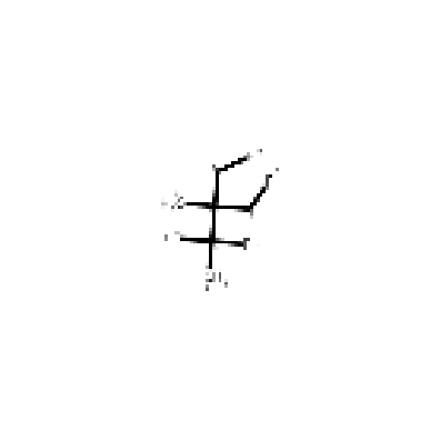 CC(F)(F)C(C)(CF)CF